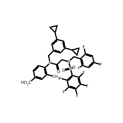 Cc1cc(C(=O)O)ccc1N(Cc1cc(C2CC2)cc(C2CC2)c1)C(=O)CN(Cc1c(F)cc(F)cc1F)S(=O)(=O)c1c(F)c(F)c(F)c(F)c1F